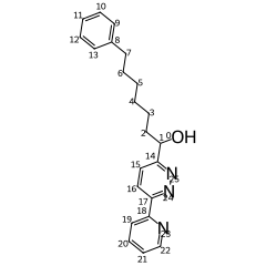 OC(CCCCCCc1ccccc1)c1ccc(-c2ccccn2)nn1